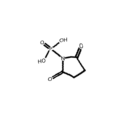 O=C1CCC(=O)N1P(=O)(O)O